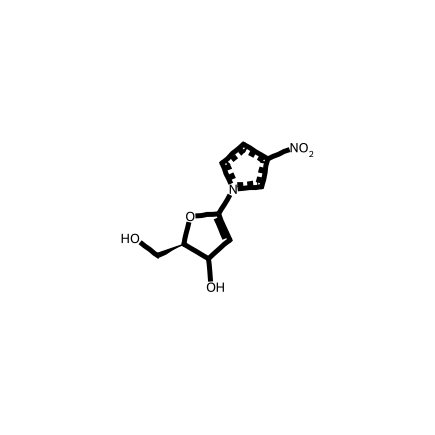 O=[N+]([O-])c1ccn(C2=CC(O)[C@@H](CO)O2)c1